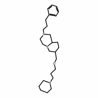 c1ccc(CCCN2CCN3CC(COCCCN4CCCCC4)CCC3C2)cc1